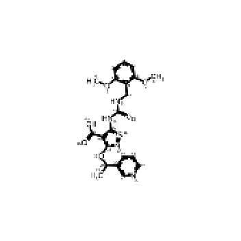 COc1cccc(OC)c1CNC(=O)Nc1snc(OC(C)c2cccnc2)c1C(=O)O